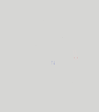 Cc1ccc(C=O)c(N2CCCCC2)c1